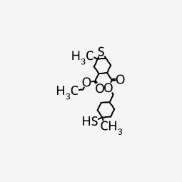 CCOC(=O)C1CC2(C)SC2CC1C(=O)OCC1CCC(C)(S)CC1